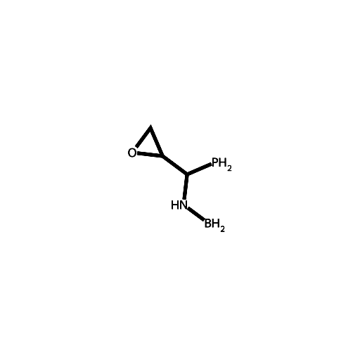 BNC(P)C1CO1